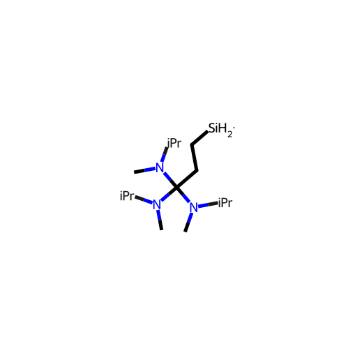 CC(C)N(C)C(CC[SiH2])(N(C)C(C)C)N(C)C(C)C